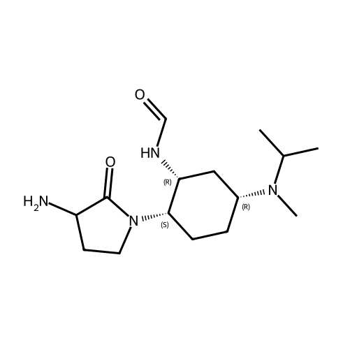 CC(C)N(C)[C@@H]1CC[C@H](N2CCC(N)C2=O)[C@H](NC=O)C1